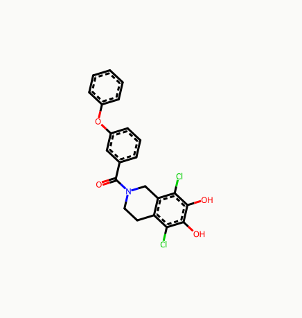 O=C(c1cccc(Oc2ccccc2)c1)N1CCc2c(Cl)c(O)c(O)c(Cl)c2C1